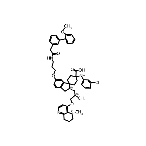 COc1ccccc1-c1cccc(CC(=O)NCCCOc2ccc3c(c2)C2(CCC(Nc4cccc(Cl)c4)(C(=O)O)CC2)[C@@H](C[C@@H](C)COc2ccnc4c2[C@H](C)CCC4)C3)c1